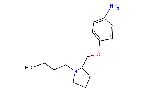 CCCCN1CCCC1COc1ccc(N)cc1